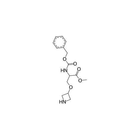 COC(=O)C(COC1CNC1)NC(=O)OCc1ccccc1